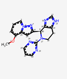 COc1cccn2nc([C@H]3c4nc[nH]c4CCN3c3ncccn3)cc12